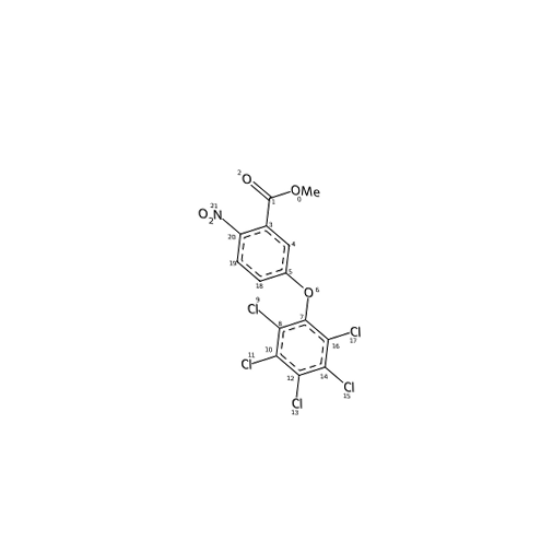 COC(=O)c1cc(Oc2c(Cl)c(Cl)c(Cl)c(Cl)c2Cl)ccc1[N+](=O)[O-]